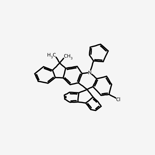 CC1(C)c2ccccc2-c2cc3c(cc21)N(c1ccccc1)c1ccc(Cl)cc1C31c2ccccc2-c2ccccc21